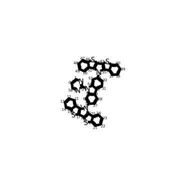 c1cnc(-n2c3cc(-n4c5c6ccccc6sc5c5sc6ccccc6c54)ccc3c3ccc(-n4c5c6ccccc6sc5c5sc6ccccc6c54)cc32)nc1